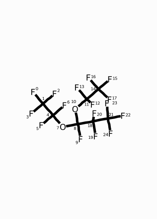 FC(F)(F)C(F)(F)OC(F)(OC(F)(F)C(F)(F)F)C(F)(F)C(F)(F)F